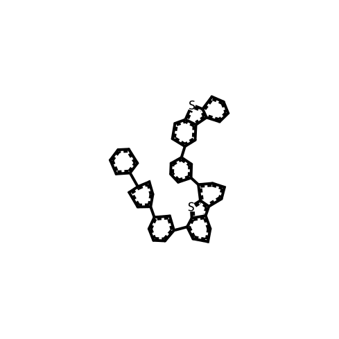 c1ccc(-c2ccc(-c3cccc(-c4cccc5c4sc4c(-c6cccc(-c7ccc8sc9ccccc9c8c7)c6)cccc45)c3)cc2)cc1